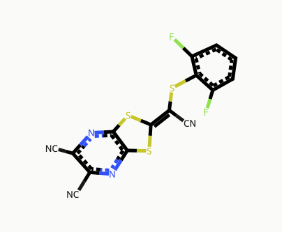 N#CC(Sc1c(F)cccc1F)=C1Sc2nc(C#N)c(C#N)nc2S1